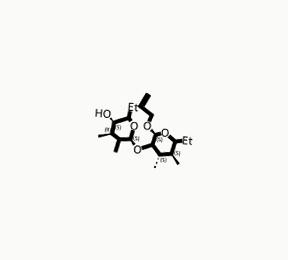 C=CCO[C@H]1OC(CC)[C@@H](C)[C@H](C)C1O[C@@H]1OC(CC)[C@@H](O)[C@H](C)C1C